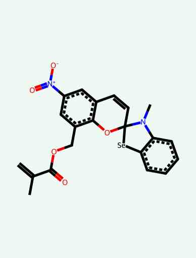 C=C(C)C(=O)OCc1cc([N+](=O)[O-])cc2c1OC1(C=C2)[Se]c2ccccc2N1C